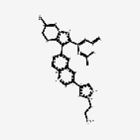 C=C/C=C(\N=C(C)C)c1nn2c(c1-c1ccc3ncc(-c4cnn(CCNC)c4)cc3c1)CCC(Cl)=C2